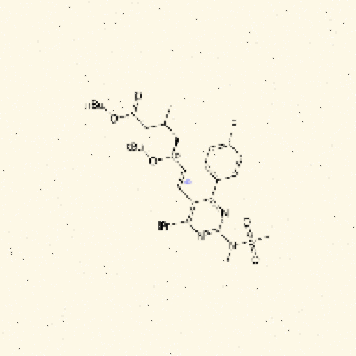 CCCCOC(=O)CC(C)C[C@@H](/C=C/c1c(-c2ccc(F)cc2)nc(N(C)S(C)(=O)=O)nc1C(C)C)OC(C)(C)C